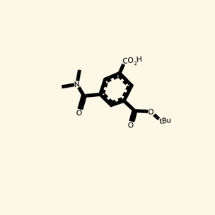 CN(C)C(=O)c1cc(C(=O)O)cc(C(=O)OC(C)(C)C)c1